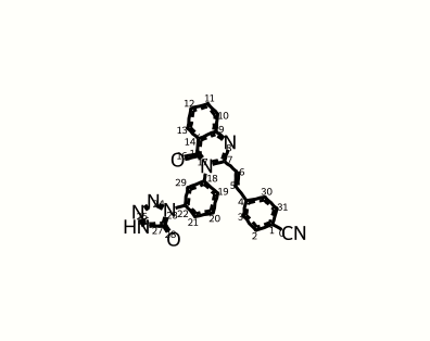 N#Cc1ccc(C=Cc2nc3ccccc3c(=O)n2-c2cccc(-n3nn[nH]c3=O)c2)cc1